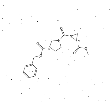 COC(=O)[C@H]1CN1C(=O)N1CC[C@H](C(=O)OCc2ccccc2)C1